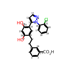 O=C(O)c1cccc(CCc2cc(-c3ccnn3-c3ccccc3Cl)c(O)cc2O)c1